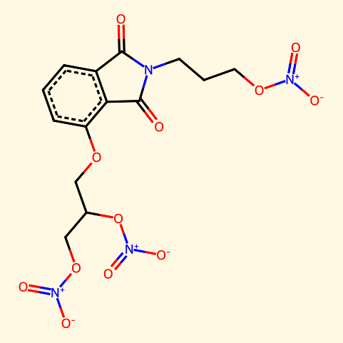 O=C1c2cccc(OCC(CO[N+](=O)[O-])O[N+](=O)[O-])c2C(=O)N1CCCO[N+](=O)[O-]